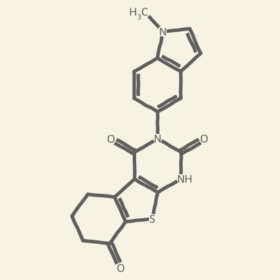 Cn1ccc2cc(-n3c(=O)[nH]c4sc5c(c4c3=O)CCCC5=O)ccc21